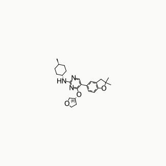 CC1(C)Cc2cc(-c3cnc(N[C@H]4CC[C@H](C)CC4)nc3O[C@@H]3CCOC3)ccc2O1